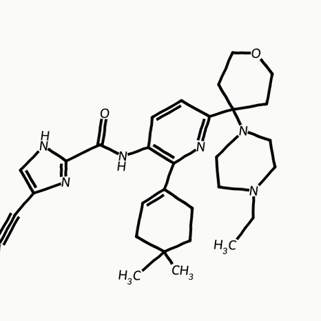 CCN1CCN(C2(c3ccc(NC(=O)c4nc(C#N)c[nH]4)c(C4=CCC(C)(C)CC4)n3)CCOCC2)CC1